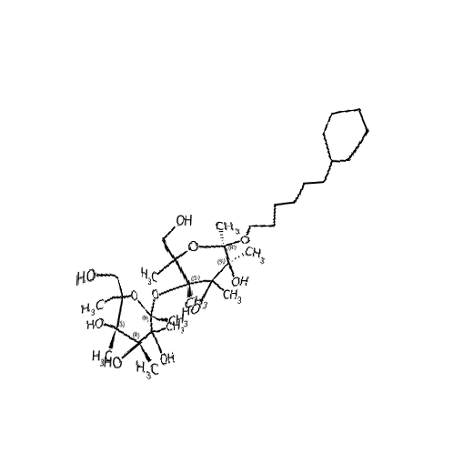 CC1(CO)O[C@@](C)(OCCCCCCC2CCCCC2)[C@@](C)(O)C(C)(O)[C@]1(C)O[C@@]1(C)OC(C)(CO)[C@@](C)(O)[C@@](C)(O)C1(C)O